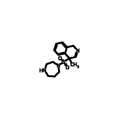 CC1(S(=O)(=O)N2CCCNCC2)C=NCc2ccccc21